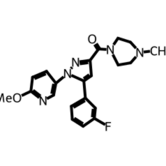 COc1ccc(-n2nc(C(=O)N3CCN(C)CC3)cc2-c2cccc(F)c2)cn1